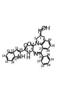 C/C(CN1C(=O)C(NC(=O)c2cc3ccccc3[nH]2)N=C(c2ccccc2)c2ccccc21)=N\O